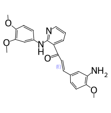 COc1ccc(/C=C/C(=O)c2cccnc2Nc2ccc(OC)c(OC)c2)cc1N